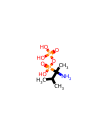 CC(C)C(C)(N)P(=O)(O)OP(=O)(O)O